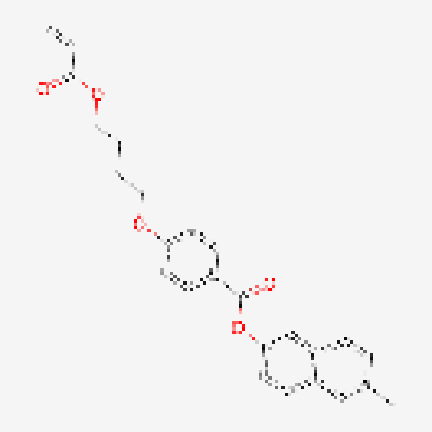 C=CC(=O)OCCCCOc1ccc(C(=O)Oc2ccc3cc(C)ccc3c2)cc1